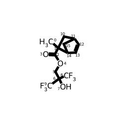 CC1(C(=O)OCC(O)(C(F)(F)F)C(F)(F)F)CC2C=CC1C2